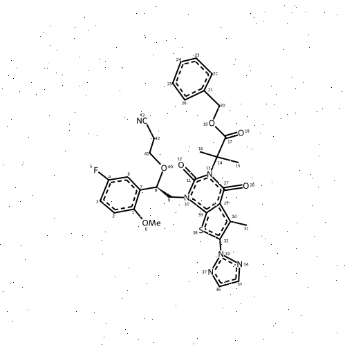 COc1ccc(F)cc1[C@H](Cn1c(=O)n(C(C)(C)C(=O)OCc2ccccc2)c(=O)c2c(C)c(-n3nccn3)sc21)OCCC#N